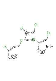 O=C([O-])C(Cl)=CCl.O=C([O-])C(Cl)=CCl.O=C([O-])C(Cl)=CCl.[In+3]